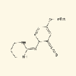 CCCCCCCCOC1=CC(=C=O)C(N=C2NCCCN2)C=C1